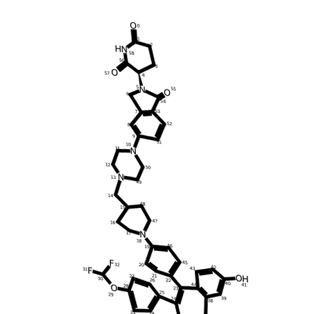 O=C1CC[C@@H](N2Cc3cc(N4CCN(CC5CCN(c6ccc(C7=C(c8ccc(OC(F)F)cc8)CCCc8cc(O)ccc87)cc6)CC5)CC4)ccc3C2=O)C(=O)N1